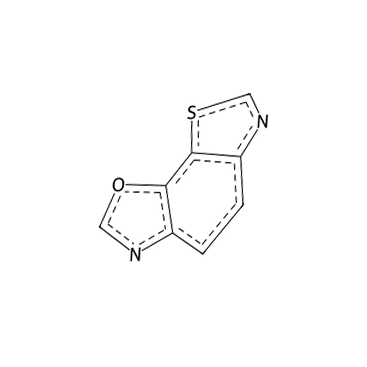 c1nc2ccc3ncsc3c2o1